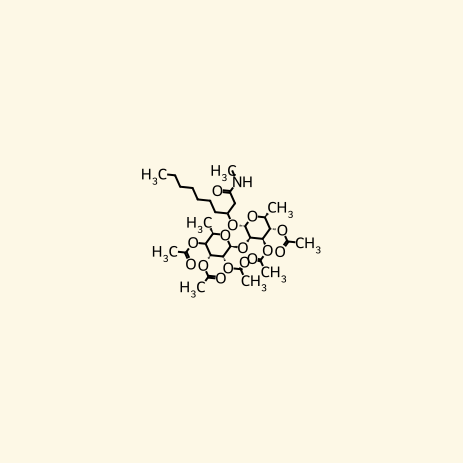 CCCCCCCC(CC(=O)NC)O[C@@H]1O[C@@H](C)[C@H](OC(C)=O)[C@@H](OC(C)=O)[C@H]1O[C@@H]1O[C@H](C)C(OC(C)=O)[C@@H](OC(C)=O)[C@H]1OC(C)=O